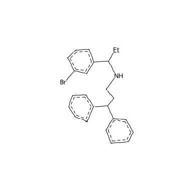 CCC(NCCC(c1ccccc1)c1ccccc1)c1cccc(Br)c1